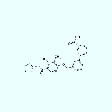 Cc1c(OCc2cccc(-c3cccc(C(=O)O)c3)c2)ccc(C(=O)CC2CCCC2)c1O